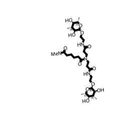 CNC(=O)CCCCC(=O)N(CCC(=O)NCCO[C@@H]1O[C@@H](C)[C@@H](O)[C@@H](C)[C@@H]1O)CCC(=O)NCCO[C@@H]1O[C@@H](C)[C@@H](O)[C@@H](C)[C@@H]1O